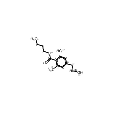 CCCCOC(=O)c1ccc(CNO)cc1C.Cl